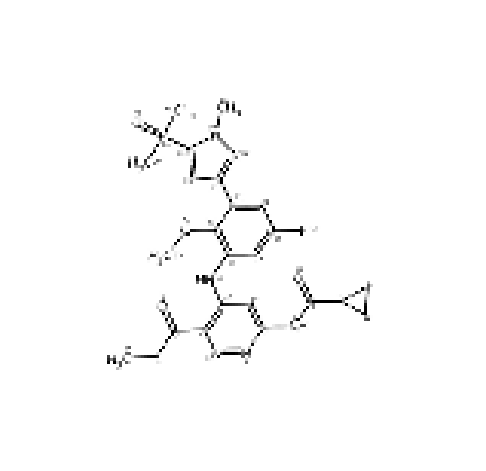 CCC(=O)c1nnc(NC(=O)C2CC2)cc1Nc1cc(F)cc(-c2cc(P(C)(C)=O)n(C)n2)c1OC